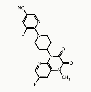 Cn1c(=O)c(=O)n(C2CCN(c3ncc(C#N)cc3F)CC2)c2ncc(F)cc21